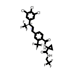 O=C(NC1(C(=O)NCC(F)(F)F)CC1)c1ccc(/C=C/[C@H](c2cc(Cl)c(Cl)c(Cl)c2)C(F)(F)F)cc1C(F)(F)F